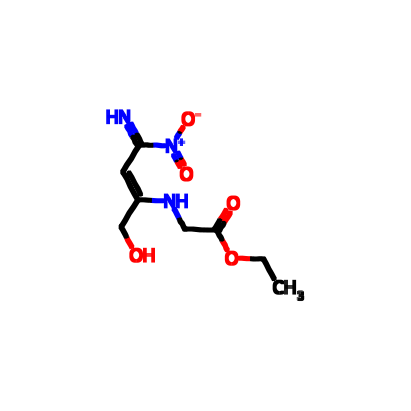 CCOC(=O)CN/C(=C\C(=N)[N+](=O)[O-])CO